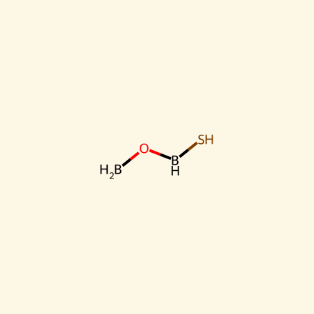 BOBS